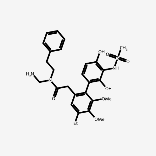 CCc1cc(CC(=O)N(CN)CCc2ccccc2)c(-c2ccc(O)c(NS(C)(=O)=O)c2O)c(OC)c1OC